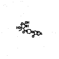 CCC(O)(CC)C(NC(=O)O)C(=O)N1CCN(N2CN3CN(C)C=C3C2=O)CC1